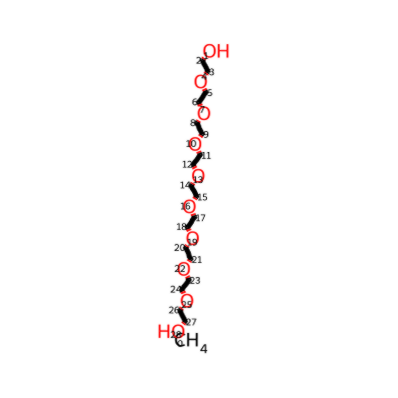 C.OCCOCCOCCOCCOCCOCCOCCOCCOCCO